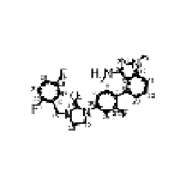 Cn1nc(N)c2c(-c3ccc(N4CCN(Cc5cc(F)ccc5F)C4=O)cc3F)cccc21